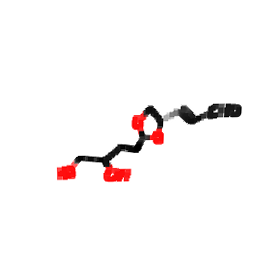 O=CC=C[C@H]1CO[C@H](C=CC(O)CO)O1